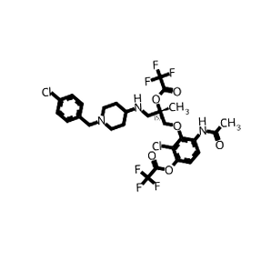 CC(=O)Nc1ccc(OC(=O)C(F)(F)F)c(Cl)c1OC[C@](C)(CNC1CCN(Cc2ccc(Cl)cc2)CC1)OC(=O)C(F)(F)F